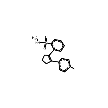 CNS(=O)(=O)c1ccccc1C1=C(c2ccc(F)cc2)CCC1